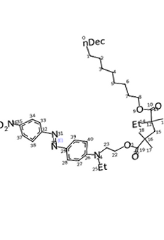 CCCCCCCCCCCCCCCCCCOC(=O)C(C)(CC)CC(C)(C)C(=O)OCCN(CC)c1ccc(/N=N/c2ccc([N+](=O)[O-])cc2)cc1